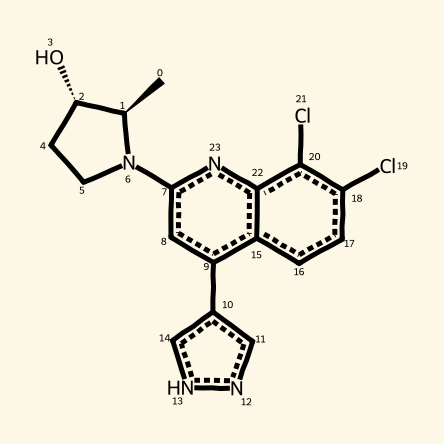 C[C@@H]1[C@@H](O)CCN1c1cc(-c2cn[nH]c2)c2ccc(Cl)c(Cl)c2n1